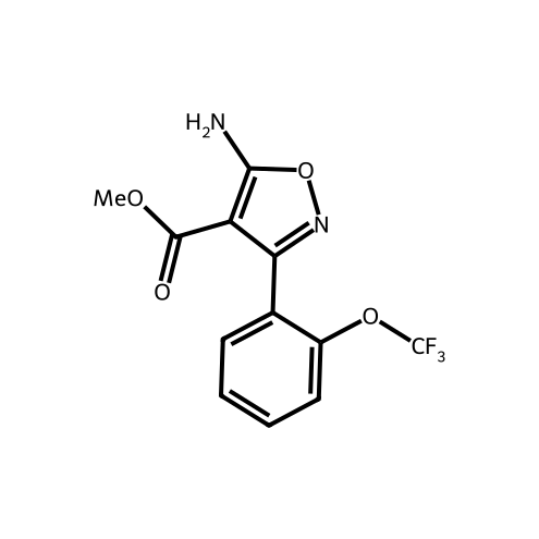 COC(=O)c1c(-c2ccccc2OC(F)(F)F)noc1N